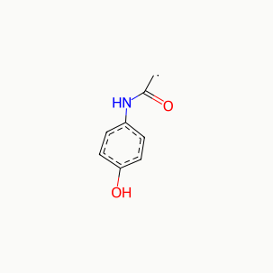 [CH2]C(=O)Nc1ccc(O)cc1